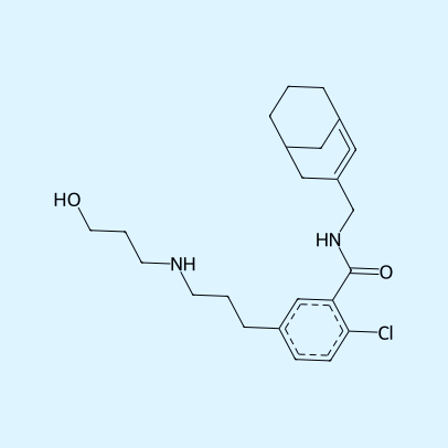 O=C(NCC1=C=C2CCCC(C2)C1)c1cc(CCCNCCCO)ccc1Cl